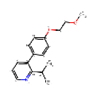 COCCOc1ccc(-c2cccnc2C(C)C)cc1